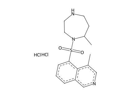 Cc1cncc2cccc(S(=O)(=O)N3CCNCCC3C)c12.Cl.Cl